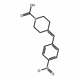 O=C(O)N1CCC(=Cc2ccc([N+](=O)[O-])cc2)CC1